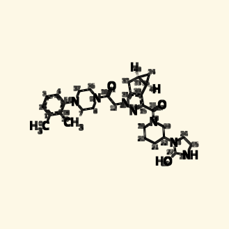 Cc1cccc(N2CCN(C(=O)Cn3nc(C(=O)N4CCCC(N5CCNC5O)C4)c4c3C[C@H]3C[C@@H]43)CC2)c1C